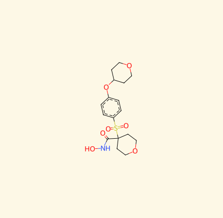 O=C(NO)C1(S(=O)(=O)c2ccc(OC3CCOCC3)cc2)CCOCC1